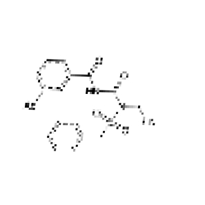 CC(=O)c1cccc(C(=O)NC(=O)N(CC#N)S(=O)(=O)Cc2ccccc2)c1